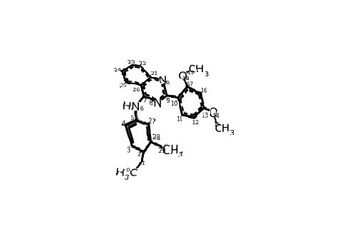 CCC1C=C=C(Nc2nc(-c3ccc(OC)cc3OC)nc3ccccc23)C=C1C